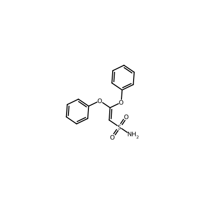 NS(=O)(=O)C=C(Oc1ccccc1)Oc1ccccc1